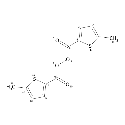 Cc1ccc(C(=O)OOC(=O)c2ccc(C)s2)s1